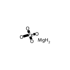 [MgH2].[O]=[Fe](=[O])(=[O])=[O]